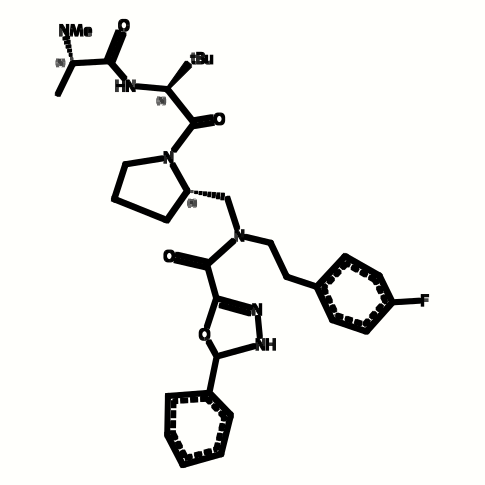 CN[C@@H](C)C(=O)N[C@H](C(=O)N1CCC[C@H]1CN(CCc1ccc(F)cc1)C(=O)C1=NNC(c2ccccc2)O1)C(C)(C)C